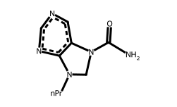 CCCN1CN(C(N)=O)c2cncnc21